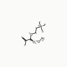 C=C(C)C(=O)OCC[N+](C)(C)C.CC(=O)[O-]